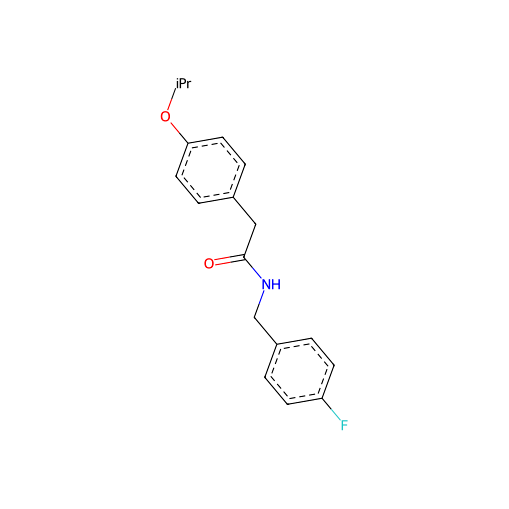 CC(C)Oc1ccc(CC(=O)NCc2ccc(F)cc2)cc1